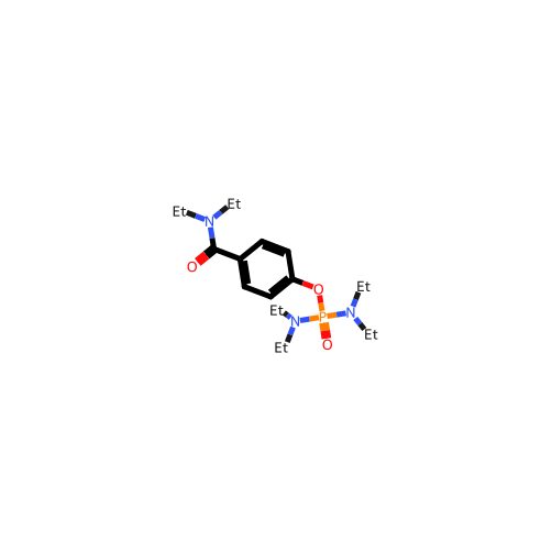 CCN(CC)C(=O)c1ccc(OP(=O)(N(CC)CC)N(CC)CC)cc1